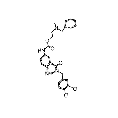 CN(CCOC(=O)Nc1ccc2ncn(Cc3ccc(Cl)c(Cl)c3)c(=O)c2c1)Cc1ccccc1